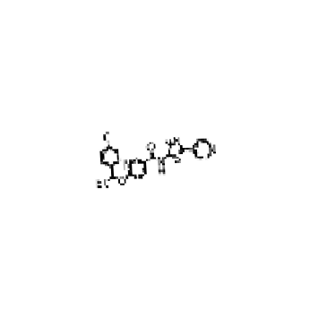 CCC(Oc1ccc(C(=O)Nc2nnc(-c3ccncc3)s2)cn1)c1ccc(Cl)cc1